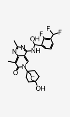 Cc1nc(NC(O)c2cccc(C(F)F)c2F)c2cn(C34CCC(O)(CC3)CC4)c(=O)c(C)c2n1